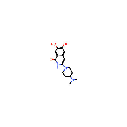 CN(C)C1CCN(c2cc3cc(O)c(O)cc3c(=O)[nH]2)CC1